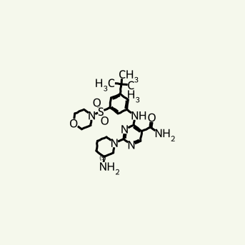 CC(C)(C)c1cc(Nc2nc(N3CCC[C@H](N)C3)ncc2C(N)=O)cc(S(=O)(=O)N2CCOCC2)c1